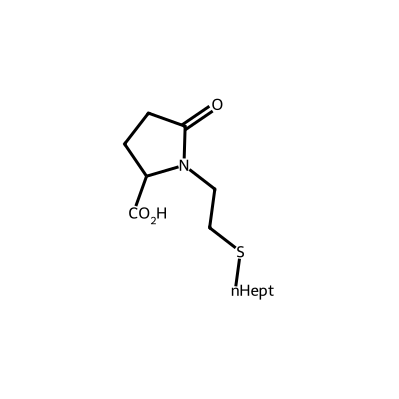 CCCCCCCSCCN1C(=O)CCC1C(=O)O